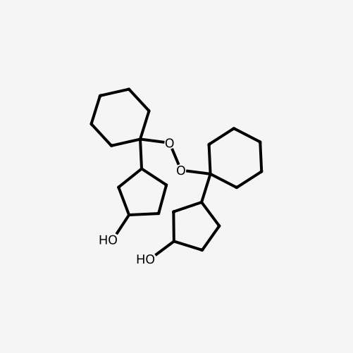 OC1CCC(C2(OOC3(C4CCC(O)C4)CCCCC3)CCCCC2)C1